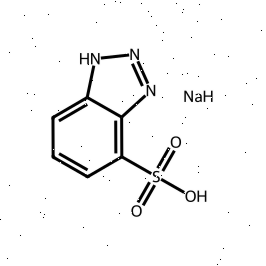 O=S(=O)(O)c1cccc2[nH]nnc12.[NaH]